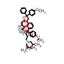 COc1ccc(C(CCCN(CC(C)C)CC(C)C)(OC(=O)/C=C\C(=O)OC(CCCN(CC(C)C)CC(C)C)(c2ccccc2)c2ccc(OC)cc2)c2ccccc2)cc1